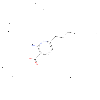 CCCCc1ccc(C(=O)O)c(N)n1